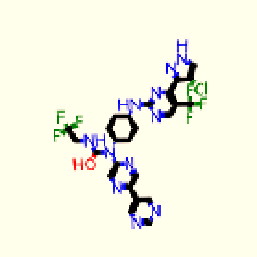 OC(NCC(F)(F)F)N(c1cnc(-c2cncnc2)cn1)[C@H]1CC[C@H](Nc2ncc(C(F)(F)F)c(-c3n[nH]cc3Cl)n2)CC1